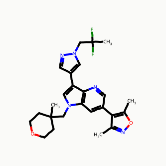 Cc1noc(C)c1-c1cnc2c(-c3cnn(CC(C)(F)F)c3)cn(CC3(C)CCOCC3)c2c1